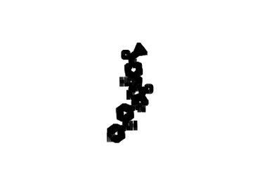 O=C(C1CC1)N1CCC(O)(Cn2cnc3c(cnn3-c3cccc(Nc4ccncc4)c3)c2=O)CC1